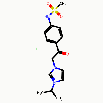 CC(C)[n+]1ccn(CC(=O)c2ccc(NS(C)(=O)=O)cc2)c1.[Cl-]